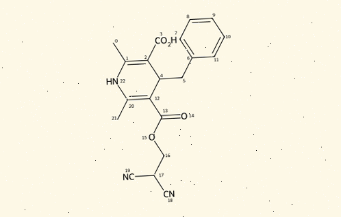 CC1=C(C(=O)O)C(Cc2ccccc2)C(C(=O)OCC(C#N)C#N)=C(C)N1